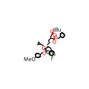 COc1ccc(CO[C@@H](C)[C@H](OCC2CC2)[C@H](CCCC(CC(=O)OC(C)(C)C)C(=O)OCc2ccccc2)Cc2ccc(F)cc2)cc1